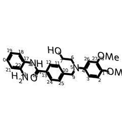 COc1ccc(N(CCO)Cc2ccc(C(=O)Nc3ccccc3N)cc2)cc1OC